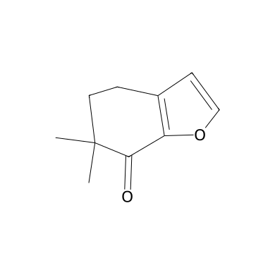 CC1(C)CCc2ccoc2C1=O